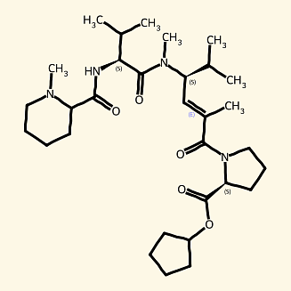 C/C(=C\[C@H](C(C)C)N(C)C(=O)[C@@H](NC(=O)C1CCCCN1C)C(C)C)C(=O)N1CCC[C@H]1C(=O)OC1CCCC1